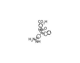 N=C(N)N1CCC(C(=O)N2CCc3ccccc3[C@H]2C(=O)Nc2ccc(C(=O)O)cc2)CC1